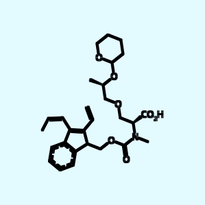 C=CC1=C(/C=C\C)c2ccccc2C1COC(=O)N(C)[C@@H](COC[C@@H](C)OC1CCCCO1)C(=O)O